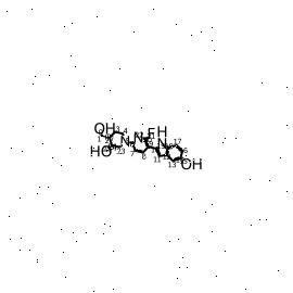 OC[C@H]1CCN(c2ccc(-c3cc4cc(O)ccc4[nH]3)c(F)n2)C[C@H]1O